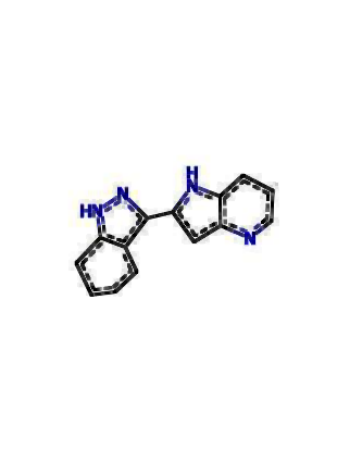 c1cnc2cc(-c3n[nH]c4ccccc34)[nH]c2c1